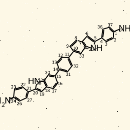 Nc1ccc(-c2cc3ccc(-c4ccc(-c5ccc6cc(-c7ccc(N)cc7)[nH]c6c5)cc4)cc3[nH]2)cc1